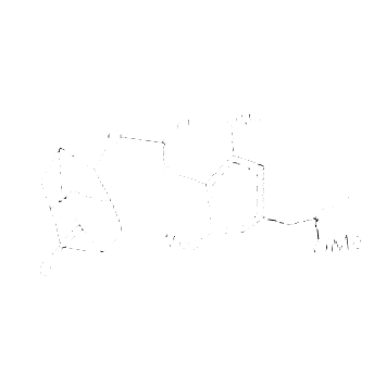 COC(=O)c1cc(OC)c(OC(=O)OC2C3CC4CC(C3)C(=O)OC2C4)c(OC)c1